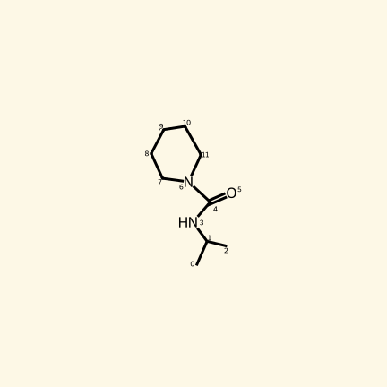 CC(C)NC(=O)N1CC[CH]CC1